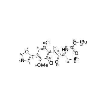 COc1c(-c2cnco2)cc(Cl)c(NC(=O)[C@@H](CC(C)C)NC(=O)OC(C)(C)C)c1Cl